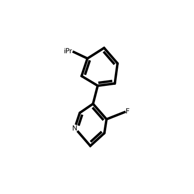 CC(C)c1cccc(-c2cnccc2F)c1